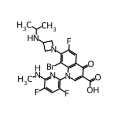 CNc1nc(-n2cc(C(=O)O)c(=O)c3cc(F)c(N4CC(NC(C)C)C4)c(Br)c32)c(F)cc1F